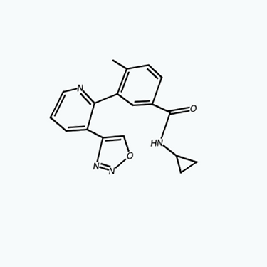 Cc1ccc(C(=O)NC2CC2)cc1-c1ncccc1-c1conn1